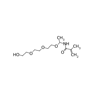 C=C(C)C(=O)NC(C)OCCOCCOCCO